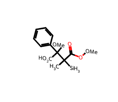 COOC(=O)C(C)([SiH3])C(OC)(C(=O)O)c1ccccc1